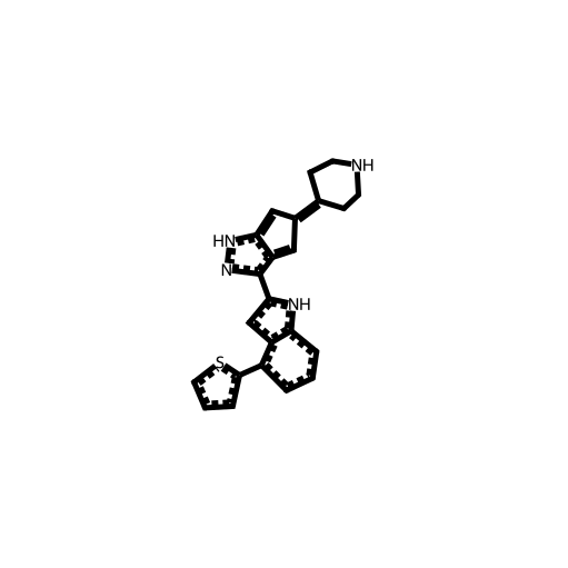 C1=c2[nH]nc(-c3cc4c(-c5cccs5)cccc4[nH]3)c2=CC1=C1CCNCC1